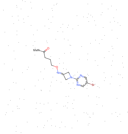 CNC(=O)CCCON=C1CN(c2ncc(Br)cn2)C1